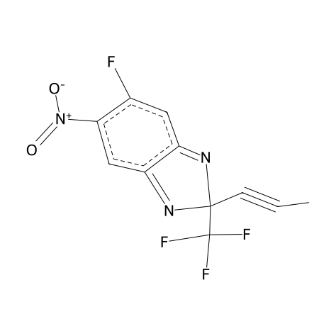 CC#CC1(C(F)(F)F)N=c2cc(F)c([N+](=O)[O-])cc2=N1